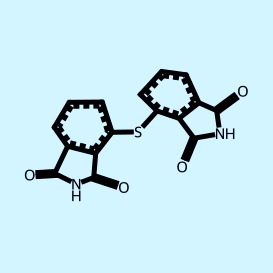 O=C1NC(=O)c2c(Sc3cccc4c3C(=O)NC4=O)cccc21